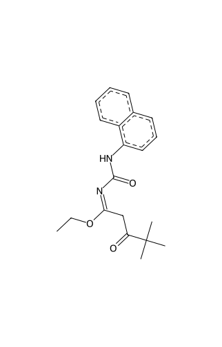 CCO/C(CC(=O)C(C)(C)C)=N/C(=O)Nc1cccc2ccccc12